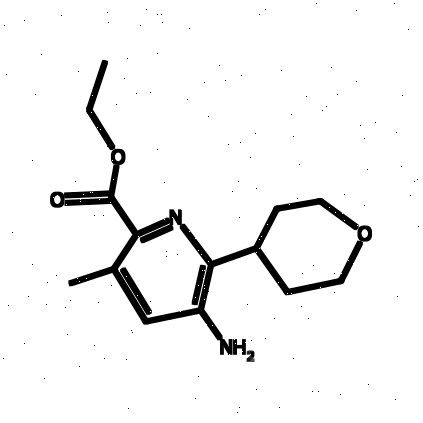 CCOC(=O)c1nc(C2CCOCC2)c(N)cc1C